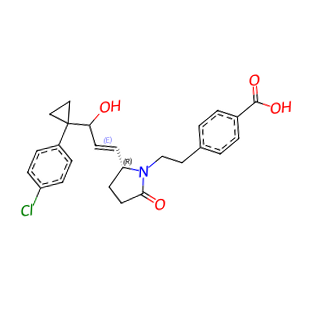 O=C(O)c1ccc(CCN2C(=O)CC[C@@H]2/C=C/C(O)C2(c3ccc(Cl)cc3)CC2)cc1